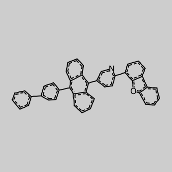 c1ccc(-c2ccc(-c3c4ccccc4c(-c4ccc(-c5cccc6c5oc5ccccc56)nc4)c4ccccc34)cc2)cc1